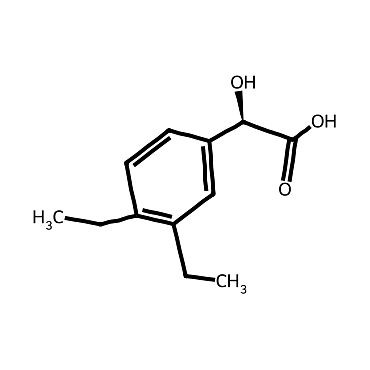 CCc1ccc([C@@H](O)C(=O)O)cc1CC